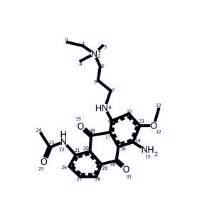 CC[N+](C)(C)CCCNc1cc(OC)c(N)c2c1C(=O)c1c(NC(C)=O)cccc1C2=O